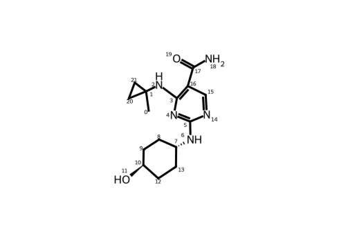 CC1(Nc2nc(N[C@H]3CC[C@H](O)CC3)ncc2C(N)=O)CC1